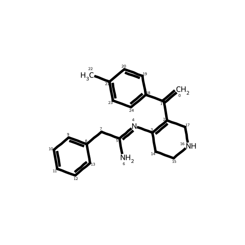 C=C(C1=C(/N=C(\N)Cc2ccccc2)CCNC1)c1ccc(C)cc1